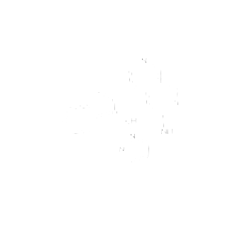 Cn1nccc1Nc1ccc2cncc(-c3cc4ccccc4o3)c2c1